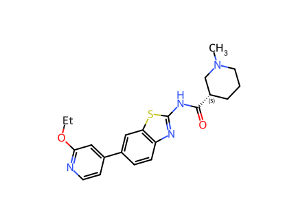 CCOc1cc(-c2ccc3nc(NC(=O)[C@H]4CCCN(C)C4)sc3c2)ccn1